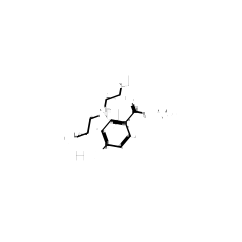 COC(=O)c1ccc(C)cc1.ClCCNCCCl